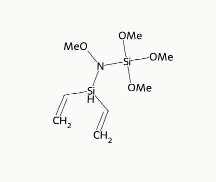 C=C[SiH](C=C)N(OC)[Si](OC)(OC)OC